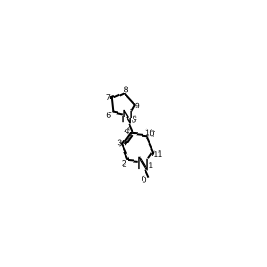 CN1CC=C(N2CCCC2)CC1